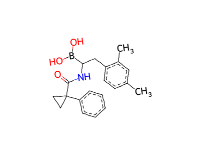 Cc1ccc(CC(NC(=O)C2(c3ccccc3)CC2)B(O)O)c(C)c1